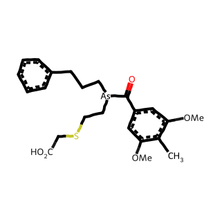 COc1cc(C(=O)[As](CCCc2ccccc2)CCSCC(=O)O)cc(OC)c1C